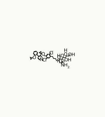 NC(=O)CN(CCCCc1cc(Cl)c(COC2(c3cnccc3-c3ccccc3OC3CC3)CC2)cc1Cl)C(=O)CC(O)C(O)C(O)CO